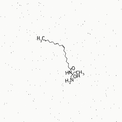 CCCCCCCC/C=C\CCCCCCCC(=O)NC(O)(CC)CN